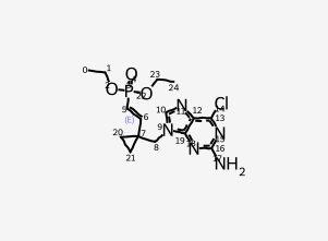 CCOP(=O)(/C=C/C1(Cn2cnc3c(Cl)nc(N)nc32)CC1)OCC